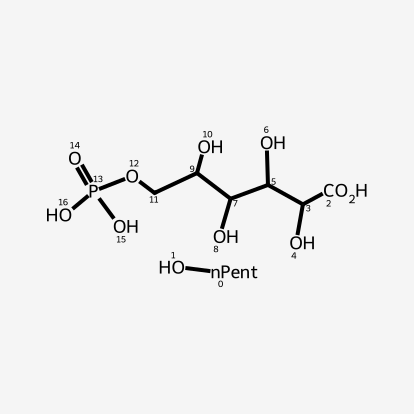 CCCCCO.O=C(O)C(O)C(O)C(O)C(O)COP(=O)(O)O